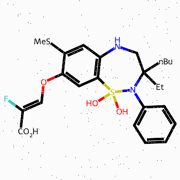 CCCCC1(CC)CNc2cc(SC)c(O/C=C(\F)C(=O)O)cc2S(O)(O)N1c1ccccc1